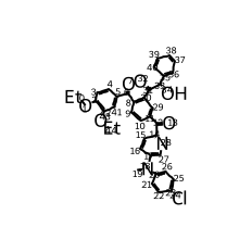 CCOc1ccc(C(=O)c2ccc(C(=O)c3ccc(N(C)c4ccc(Cl)cc4)cn3)cc2C(=O)C(O)c2ccccc2)cc1OCC